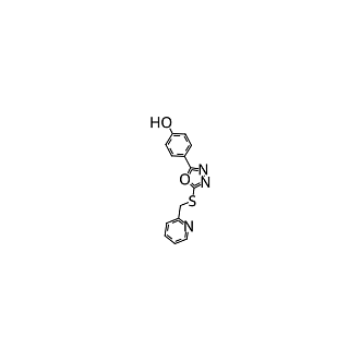 Oc1ccc(-c2nnc(SCc3ccccn3)o2)cc1